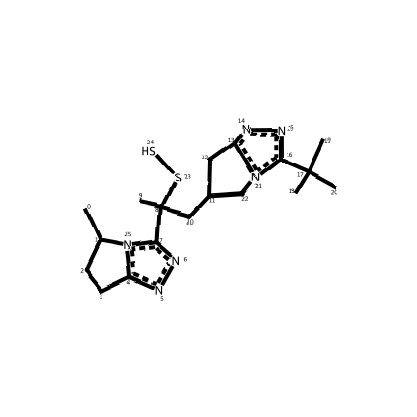 CC1CCc2nnc(C(C)(CC3Cc4nnc(C(C)(C)C)n4C3)SS)n21